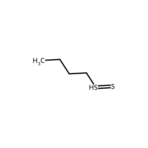 CCCC[SH]=S